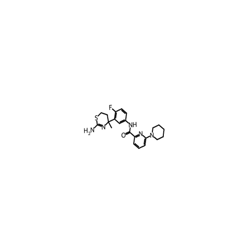 CC1(c2cc(NC(=O)c3cccc(N4CCCCC4)n3)ccc2F)CCSC(N)=N1